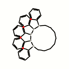 c1ccc(P2CCCCCCCCP(c3ccccc3)P(c3ccccc3)P(c3ccccc3)P2c2ccccc2)cc1